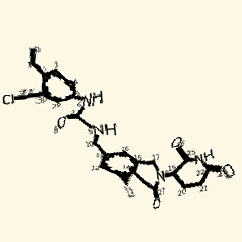 CCc1ccc(NC(=O)NCc2ccc3c(c2)CN(C2CCC(=O)NC2=O)C3=O)cc1Cl